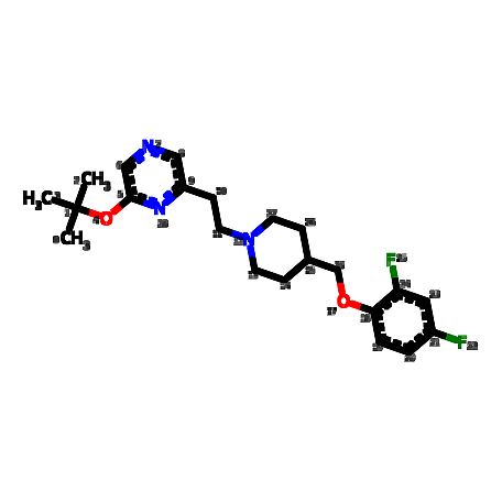 CC(C)(C)Oc1cncc(CCN2CCC(COc3ccc(F)cc3F)CC2)n1